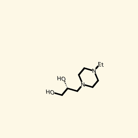 CCN1CCN(C[C@@H](O)CO)CC1